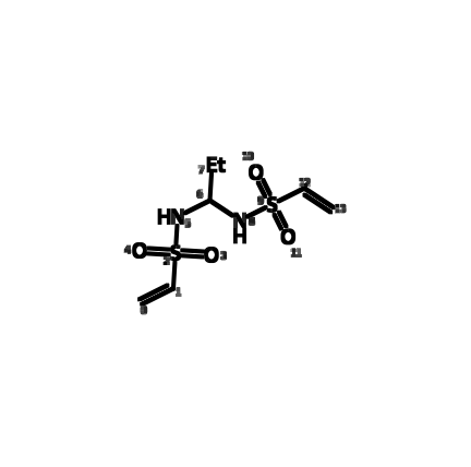 C=CS(=O)(=O)NC(CC)NS(=O)(=O)C=C